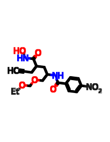 C#CCC(CC(COCOCC)NC(=O)c1ccc([N+](=O)[O-])cc1)C(=O)NO